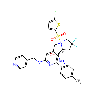 NC(=O)[C@@H]1CC(F)(F)C[N+]1(Cc1cc(NCc2ccncc2)nc(-c2ccc(C(F)(F)F)cc2)c1)S(=O)(=O)c1ccc(Cl)s1